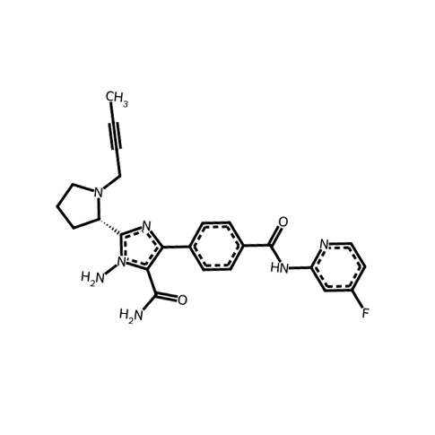 CC#CCN1CCC[C@H]1c1nc(-c2ccc(C(=O)Nc3cc(F)ccn3)cc2)c(C(N)=O)n1N